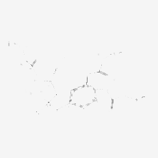 CCCCCOC(=O)Oc1ccc(CC(N)(C[C@H](C)OC(=O)OC(C)CCC)C(=O)O)cc1OC(=O)OCCCCC